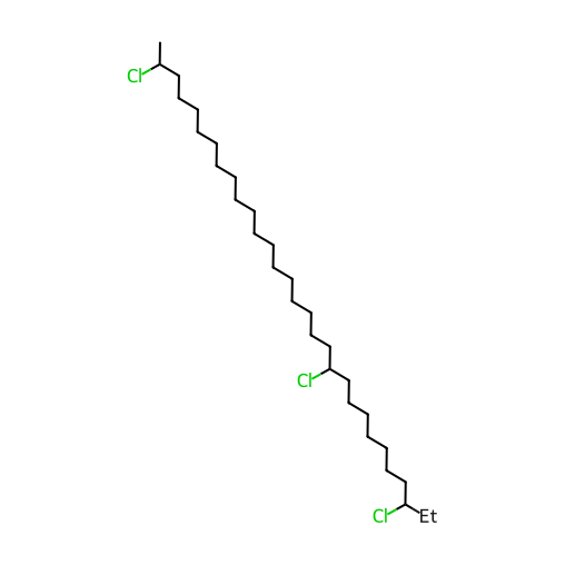 CCC(Cl)CCCCCCCC(Cl)CCCCCCCCCCCCCCCCCC(C)Cl